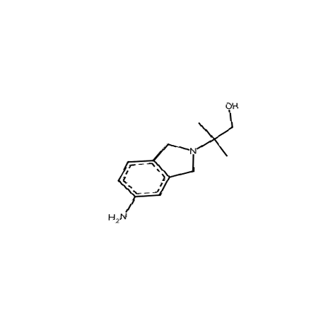 CC(C)(CO)N1Cc2ccc(N)cc2C1